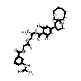 N=C(N)Nc1cccc(C(=O)NCC(=O)NC[C@H](NC(=O)c2c(Cl)cc(C3CCNC4(CCCCCCCC4)C3)cc2Cl)C(=O)O)c1